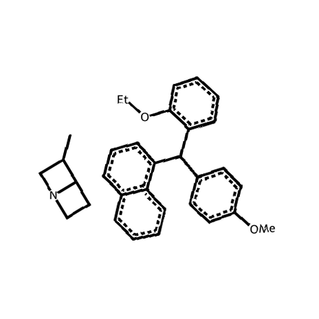 CC1CN2CCC12.CCOc1ccccc1C(c1ccc(OC)cc1)c1cccc2ccccc12